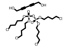 O=P(OCCCCCl)(OCCCCCl)OP(=O)(OCCCCCl)OCCCCCl.OCC#CC#CCO